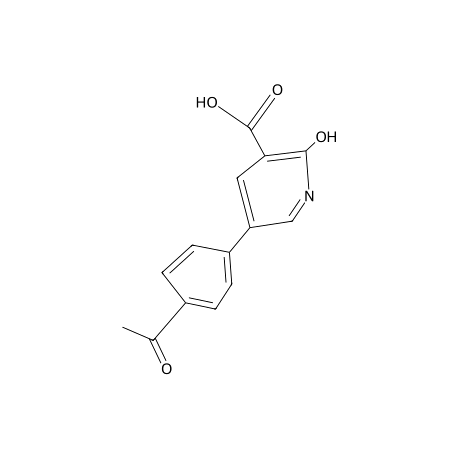 CC(=O)c1ccc(-c2cnc(O)c(C(=O)O)c2)cc1